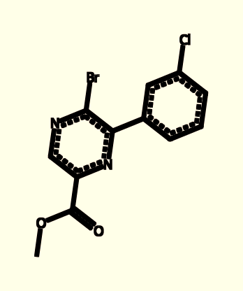 COC(=O)c1cnc(Br)c(-c2cccc(Cl)c2)n1